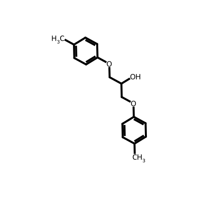 Cc1ccc(OCC(O)COc2ccc(C)cc2)cc1